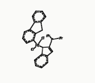 CC(C)P(C1=Cc2ccccc2[CH]1[Hf]([Cl])([Cl])[c]1cccc2c1Cc1ccccc1-2)C(C)C